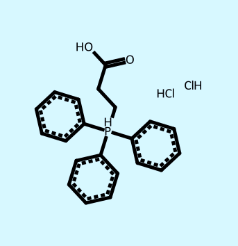 Cl.Cl.O=C(O)CC[PH](c1ccccc1)(c1ccccc1)c1ccccc1